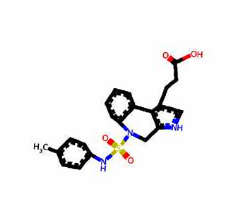 Cc1ccc(NS(=O)(=O)N2Cc3[nH]cc(CCC(=O)O)c3-c3ccccc32)cc1